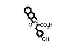 O=C(O)C(Cc1ccc(O)cc1)N1Cc2cc3ccccc3cc2C1=O